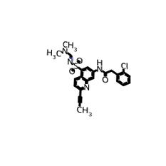 CC#Cc1ccc2c(S(=O)(=O)/N=C/N(C)C)cc(NC(=O)Cc3ccccc3Cl)cc2n1